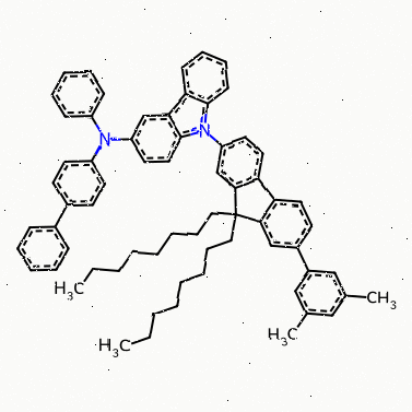 CCCCCCCCC1(CCCCCCCC)c2cc(-c3cc(C)cc(C)c3)ccc2-c2ccc(-n3c4ccccc4c4cc(N(c5ccccc5)c5ccc(-c6ccccc6)cc5)ccc43)cc21